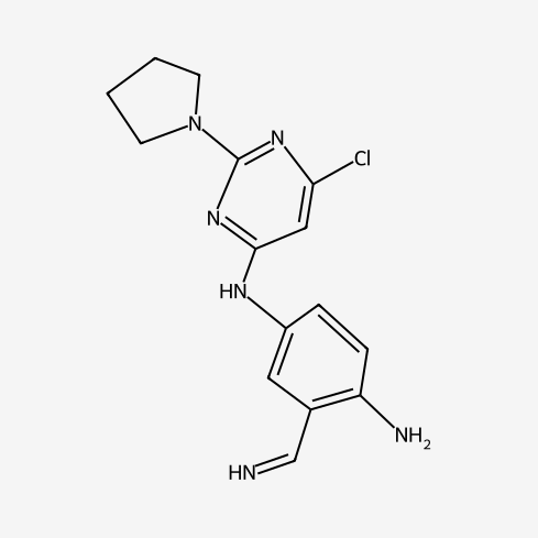 N=Cc1cc(Nc2cc(Cl)nc(N3CCCC3)n2)ccc1N